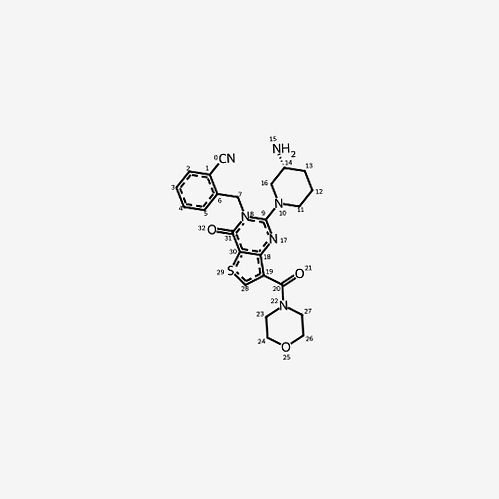 N#Cc1ccccc1Cn1c(N2CCC[C@@H](N)C2)nc2c(C(=O)N3CCOCC3)csc2c1=O